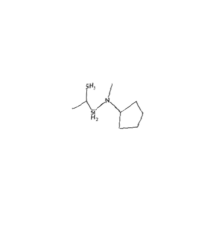 CC([SiH3])[SiH2]N(C)C1CCCC1